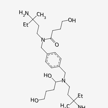 CCC(C)(N)CCN(Cc1ccc(CN(CCC(C)(N)CC)C(O)CCCO)cc1)C(=O)CCCO